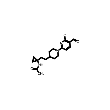 CC(=O)NC1(CCC2CCN(c3ccc(C=O)c(Cl)n3)CC2)CC1